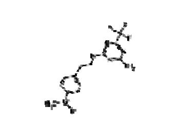 C[S+]([O-])c1ccc(CCNc2nc(N)nc(C(F)(F)F)n2)cc1